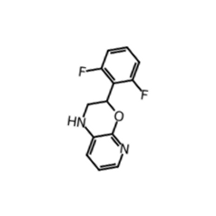 Fc1cccc(F)c1C1CNc2cccnc2O1